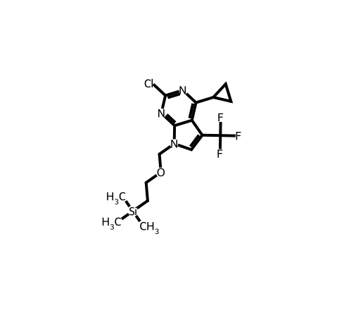 C[Si](C)(C)CCOCn1cc(C(F)(F)F)c2c(C3CC3)nc(Cl)nc21